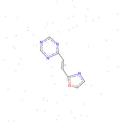 C(=C\c1ncco1)/c1ncncn1